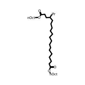 CCCCCCCCOC(=O)CCCCCCCCCCCCCCC(CCC(=O)OCCCCCCCC)C(C)C